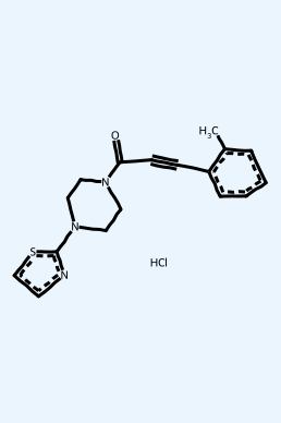 Cc1ccccc1C#CC(=O)N1CCN(c2nccs2)CC1.Cl